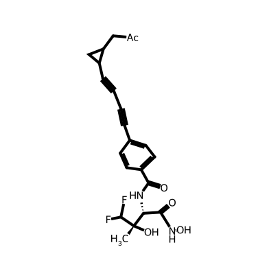 CC(=O)CC1CC1C#CC#Cc1ccc(C(=O)N[C@H](C(=O)NO)[C@](C)(O)C(F)F)cc1